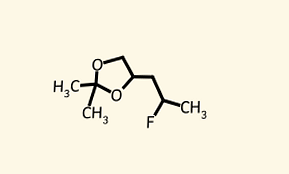 CC(F)CC1COC(C)(C)O1